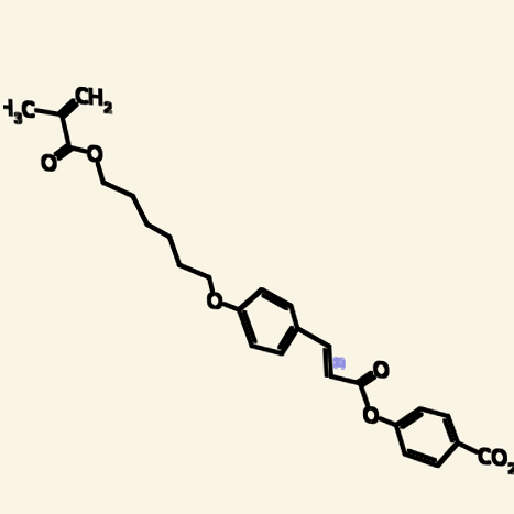 C=C(C)C(=O)OCCCCCCOc1ccc(/C=C/C(=O)Oc2ccc(C(=O)O)cc2)cc1